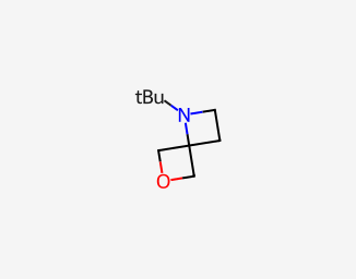 CC(C)(C)N1CCC12COC2